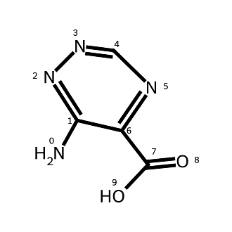 Nc1nncnc1C(=O)O